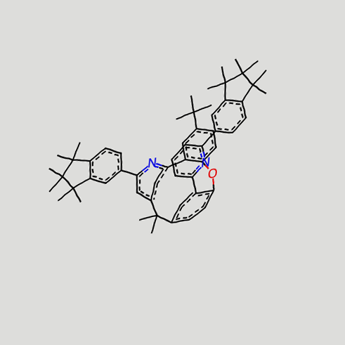 CC(C)(C)c1ccc2c(c1)-c1cc(cc(-c3ccc4c(c3)C(C)(C)C(C)(C)C4(C)C)n1)C(C)(C)c1ccc(c(-c3cccc(-c4ccc5c(c4)C(C)(C)C(C)(C)C5(C)C)n3)c1)O2